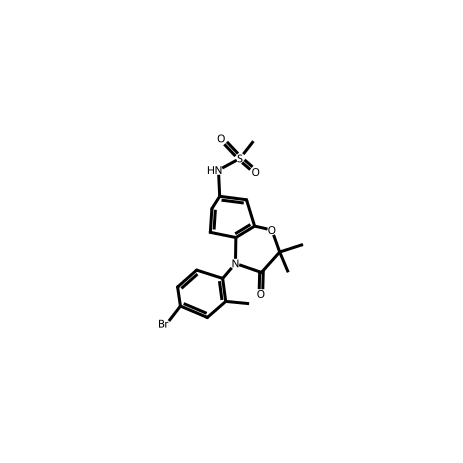 Cc1cc(Br)ccc1N1C(=O)C(C)(C)Oc2cc(NS(C)(=O)=O)ccc21